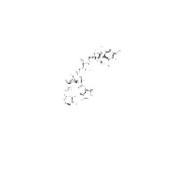 Cc1cccc(CNC(=O)N2CC(OCC(=O)NC[C@H](NS(=O)(=O)c3c(C)cc(C)cc3C)C(=O)O)C[C@H]2CNc2ccccn2)c1